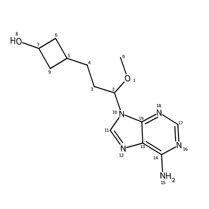 COC(CCC1CC(O)C1)n1cnc2c(N)ncnc21